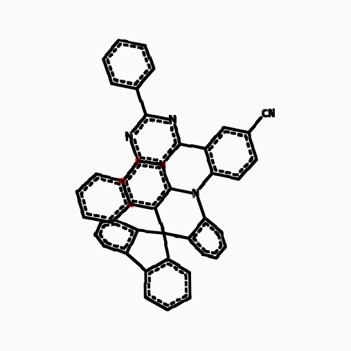 N#Cc1ccc(N2c3ccccc3C3(c4ccccc4-c4ccccc43)c3ccccc32)c(-c2nc(-c3ccccc3)nc(-c3ccccc3)n2)c1